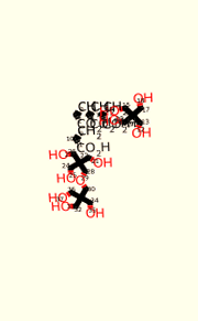 C=CC(=O)O.C=CC(=O)O.C=CC(=O)O.C=CC(=O)O.OCC(CO)(CO)CO.OCC(CO)(CO)COCC(CO)(CO)CO